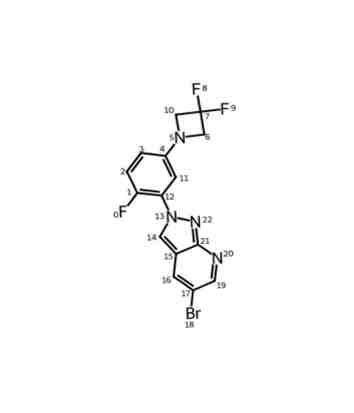 Fc1ccc(N2CC(F)(F)C2)cc1-n1cc2cc(Br)cnc2n1